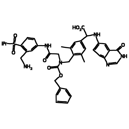 Cc1cc(C(Nc2ccc3nc[nH]c(=O)c3c2)C(=O)O)cc(C)c1CN(CC(=O)Nc1ccc(S(=O)(=O)C(C)C)c(CN)c1)C(=O)OCc1ccccc1